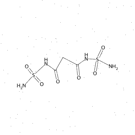 NS(=O)(=O)NC(=O)CC(=O)NS(N)(=O)=O